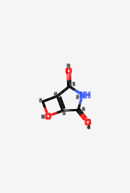 O=C1NC(=O)C2=C1CO2